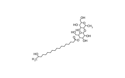 CC(O)CCCCCCCCCCCCCCCC(=O)O[C@@H]1C(CO)O[C@@H](O[C@@H]2C(C)OC(CO)[C@@H](O)C2O)[C@@H](O)C1O